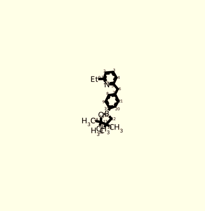 CCc1cccc(Cc2ccc(B3CC(C)(C)C(C)(C)O3)cc2)n1